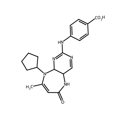 CC1=CC(=O)NC2C=NC(Nc3ccc(C(=O)O)cc3)=NC2N1C1CCCC1